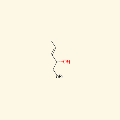 C/C=C/C(O)CCCC